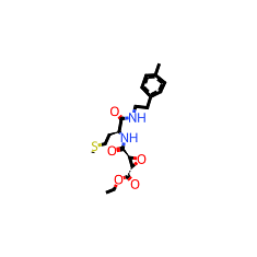 CCOC(=O)[C@H]1O[C@@H]1C(=O)N[C@@H](CCSC)C(=O)NCCc1ccc(C)cc1